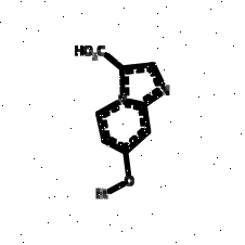 CCOc1ccn2c(C(=O)O)cnc2c1